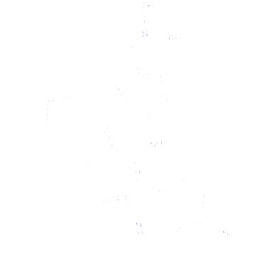 CN(C)Cc1ccc(NC(=C2C(=O)Nc3cc(C#N)ccc32)c2ccc3c(c2)OCO3)cc1